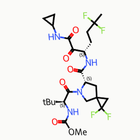 COC(=O)N[C@H](C(=O)N1CC2(C[C@H]1C(=O)N[C@@H](CCC(C)(F)F)C(=O)C(=O)NC1CC1)CC2(F)F)C(C)(C)C